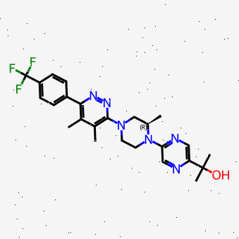 Cc1c(-c2ccc(C(F)(F)F)cc2)nnc(N2CCN(c3cnc(C(C)(C)O)cn3)[C@H](C)C2)c1C